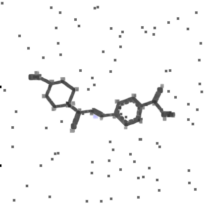 COC(=O)c1ccc(/C=C/C(=O)N2CCC(C=O)CC2)cc1